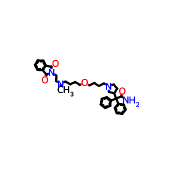 CN(CCCCOCCCCN1CCC(C(C(N)=O)(c2ccccc2)c2ccccc2)C1)CCN1C(=O)c2ccccc2C1=O